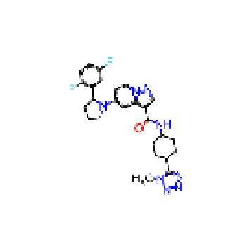 Cn1nnnc1C1CCC(NC(=O)c2cnn3ccc(N4CCCC4c4cc(F)ccc4F)cc23)CC1